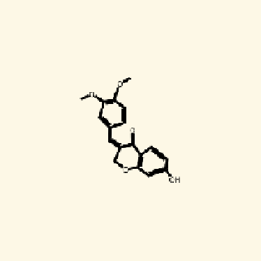 COc1ccc(C=C2COc3cc(O)ccc3C2=O)cc1OC